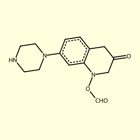 O=CON1CC(=O)Cc2ccc(N3CCNCC3)cc21